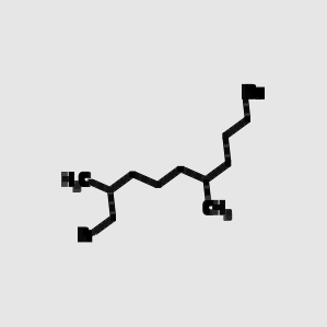 CCC(C)CCCC(C)CCCC(C)CBr